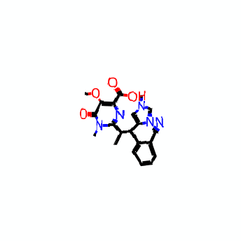 COc1c(C(=O)O)nc(C(C)C(c2cn(C)cn2)c2ccccc2C#N)n(C)c1=O